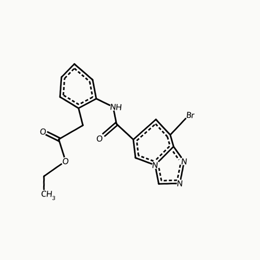 CCOC(=O)Cc1ccccc1NC(=O)c1cc(Br)c2nncn2c1